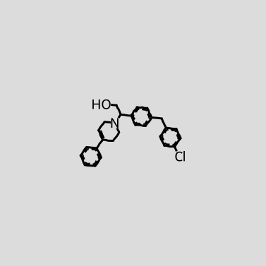 OCC(c1ccc(Cc2ccc(Cl)cc2)cc1)N1CC=C(c2ccccc2)CC1